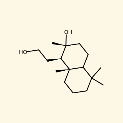 CC1(C)CCC[C@@]2(C)C1CC[C@@](C)(O)[C@@H]2CCO